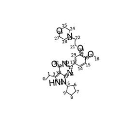 CCc1[nH]n(C2CCCC2)c2nc(-c3ccc(OC)c(OCCN4CCOCC4)c3)nc(=O)c1-2